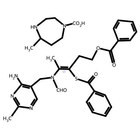 C/C(=C(\CCOC(=O)c1ccccc1)SC(=O)c1ccccc1)N(C=O)Cc1cnc(C)nc1N.CC1CCN(C(=O)O)CCN1